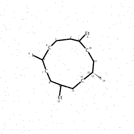 CCC1CCCC(I)CCC(CC)CC[C@@H](I)CC1